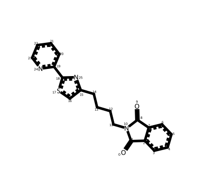 O=C1c2ccccc2C(=O)N1CCCCc1csc(-c2ccccn2)n1